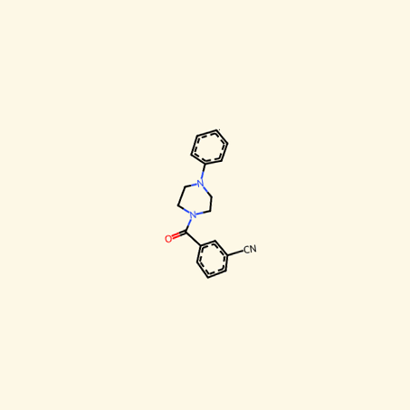 N#Cc1cccc(C(=O)N2CCN(c3cc[c]cc3)CC2)c1